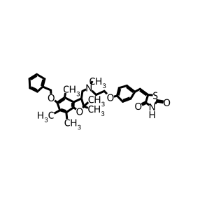 Cc1c(C)c2c(c(C)c1OCc1ccccc1)C(CN(C)CCOc1ccc(C=C3SC(=O)NC3=O)cc1)C(C)(C)O2